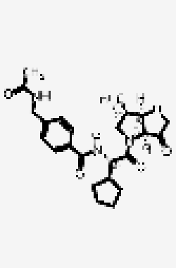 CC(=O)NCc1ccc(C(=O)N[C@H](C(=O)N2C[C@@H](C)[C@H]3OCC(=O)[C@H]32)C2CCCC2)cc1